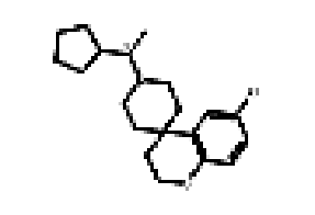 C[C@H](C1CCCC1)N1CCC2(CCOc3ccc(Cl)cc32)CC1